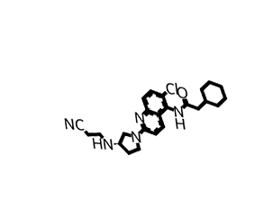 N#CCCN[C@H]1CCN(c2ccc3c(NC(=O)CC4CCCCC4)c(Cl)ccc3n2)C1